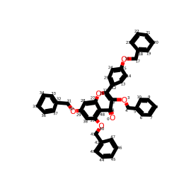 O=c1c(OCc2ccccc2)c(-c2ccc(OCc3ccccc3)cc2)oc2cc(OCc3ccccc3)cc(OCc3ccccc3)c12